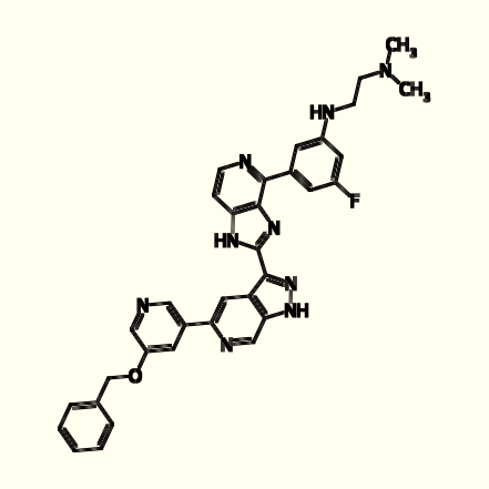 CN(C)CCNc1cc(F)cc(-c2nccc3[nH]c(-c4n[nH]c5cnc(-c6cncc(OCc7ccccc7)c6)cc45)nc23)c1